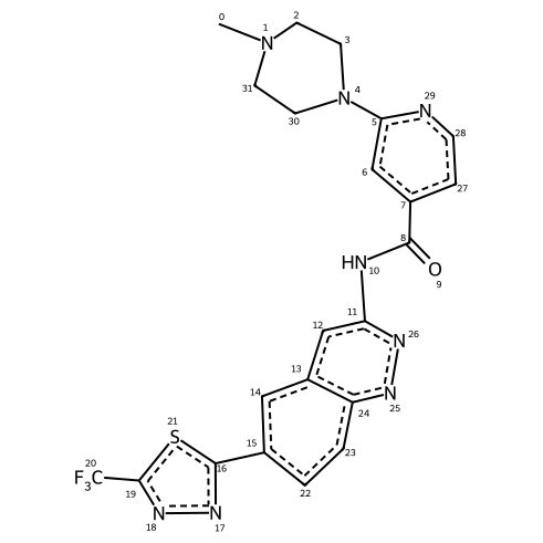 CN1CCN(c2cc(C(=O)Nc3cc4cc(-c5nnc(C(F)(F)F)s5)ccc4nn3)ccn2)CC1